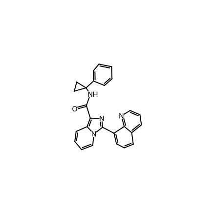 O=C(NC1(c2ccccc2)CC1)c1nc(-c2cccc3cccnc23)n2ccccc12